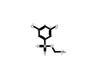 CC(C)(C)COS(=O)(=O)c1cc(Cl)cc(Cl)c1